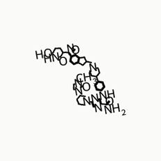 CN1CCN([C@@H]2CCCN(c3cnc(C(N)=O)c(Nc4ccc(C5CCN(CC6Cc7ccc8c(C9CCC(O)NC9=O)noc8c7C6)CC5)cc4)n3)C2)C1=O